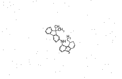 CC1CC=Cc2sc3cccc(Nc4ccc5c(c4)C(C)(C)c4ccccc4-5)c3c21